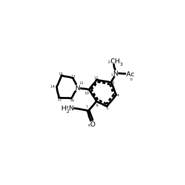 CC(=O)N(C)c1ccc(C(N)=O)c(N2CCCCC2)c1